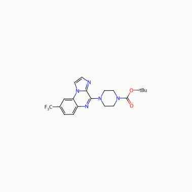 CC(C)(C)OC(=O)N1CCN(c2nc3ccc(C(F)(F)F)cc3n3ccnc23)CC1